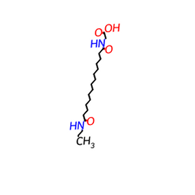 CCCNC(=O)CCCCCCCCCCCCCC(=O)NCC(=O)O